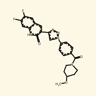 COC1CCN(C(=O)c2ccc(-n3cc(-c4cc5cc(F)c(F)cc5[nH]c4=O)nn3)cc2)CC1